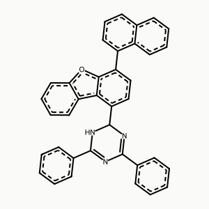 c1ccc(C2=NC(c3ccc(-c4cccc5ccccc45)c4oc5ccccc5c34)NC(c3ccccc3)=N2)cc1